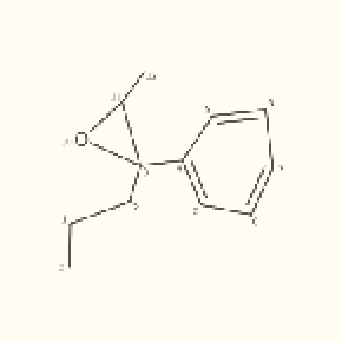 CCCC1(c2ccccc2)OC1C